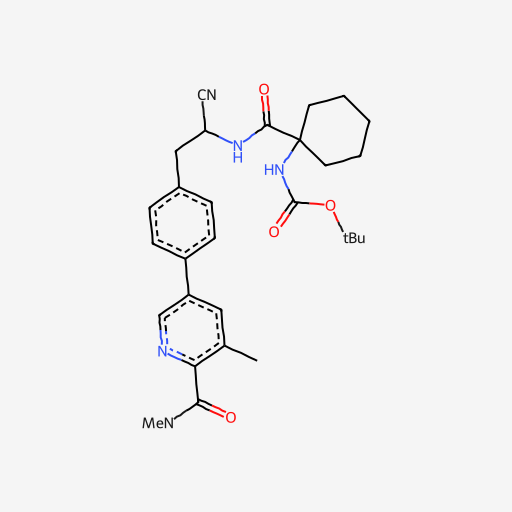 CNC(=O)c1ncc(-c2ccc(CC(C#N)NC(=O)C3(NC(=O)OC(C)(C)C)CCCCC3)cc2)cc1C